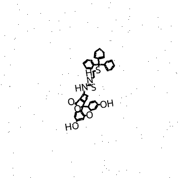 O=C1OC2(c3ccc(O)cc3OC3C=C(O)C=CC32)c2ccc(NC(=S)NCCSC(C3=CCCC=C3)(c3ccccc3)c3ccccc3)cc21